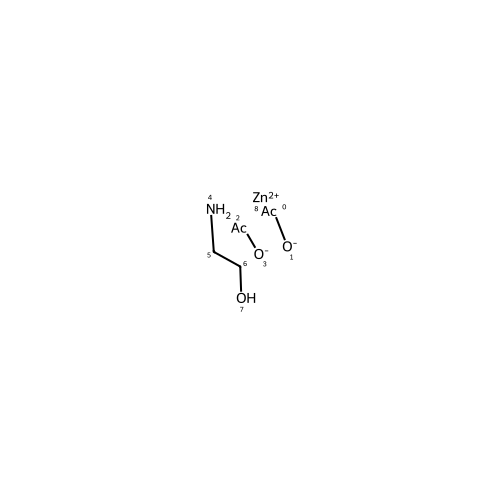 CC(=O)[O-].CC(=O)[O-].NCCO.[Zn+2]